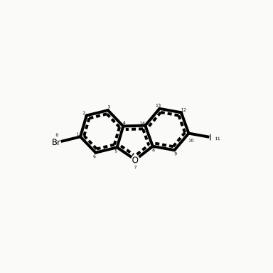 Brc1ccc2c(c1)oc1cc(I)ccc12